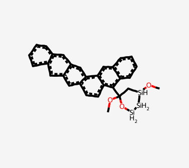 CO[SiH]1CC(OC)(c2c3ccccc3cc3c2ccc2cc4cc5ccccc5cc4cc23)O[SiH2][SiH2]1